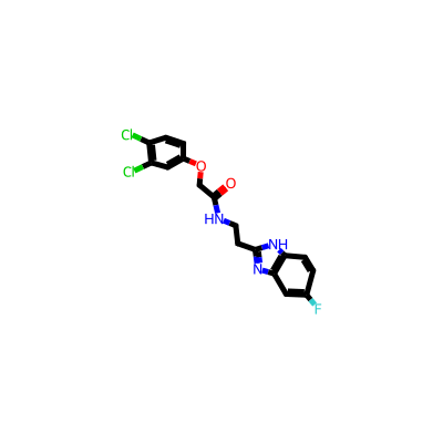 O=C(COc1ccc(Cl)c(Cl)c1)NCCc1nc2cc(F)ccc2[nH]1